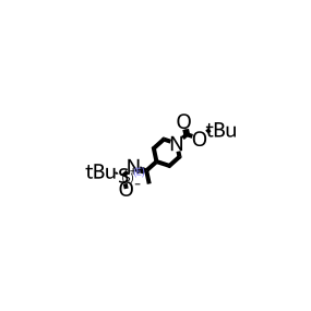 C/C(=N\[S@+]([O-])C(C)(C)C)C1CCN(C(=O)OC(C)(C)C)CC1